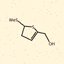 CSC1CC=C(CO)S1